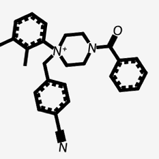 Cc1cccc([N+]2(Cc3ccc(C#N)cc3)CCN(C(=O)c3ccccc3)CC2)c1C